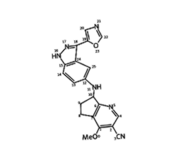 COc1c(C#N)cnc2c1CCC2Nc1ccc2[nH]nc(-c3cnco3)c2c1